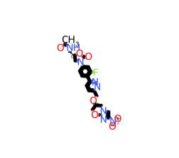 CC(=O)NC[C@H]1CN(c2ccc(-c3ccc(CO[C@@H]4COc5nc([N+](=O)[O-])cn5C4)nn3)c(F)c2)C(=O)O1